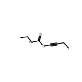 CCNC(=O)OC#CCI